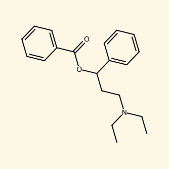 CCN(CC)CCC(OC(=O)c1ccccc1)c1ccccc1